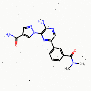 CN(C)C(=O)c1cccc(-c2cnc(N)c(-n3cc(C(N)=O)cn3)n2)c1